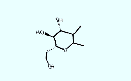 CC1O[C@H](CO)[C@@H](O)[C@H](O)C1C